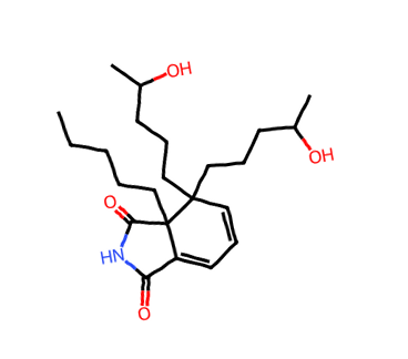 CCCCCC12C(=O)NC(=O)C1=CC=CC2(CCCC(C)O)CCCC(C)O